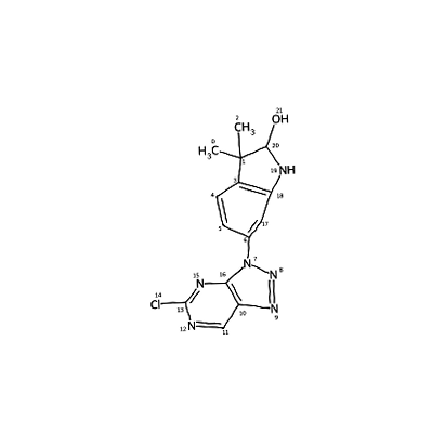 CC1(C)c2ccc(-n3nnc4cnc(Cl)nc43)cc2NC1O